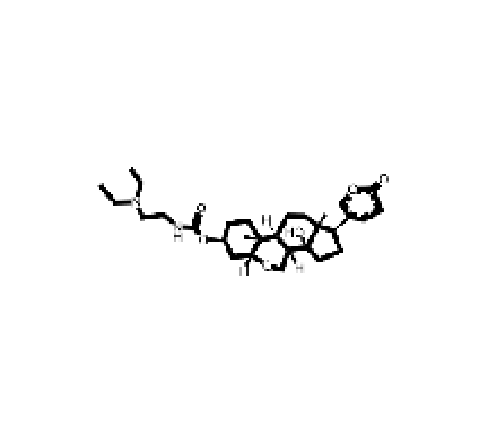 CCN(CC)CCNC(=O)O[C@H]1CC[C@@]2(C)[C@H](CC[C@@H]3[C@@H]2CC[C@]2(C)[C@@H](c4ccc(=O)oc4)CC[C@]32O)C1